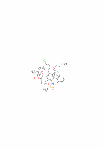 CCCCOc1cc(Cl)ccc1-c1c(C)c2c(c(C)c1[C@H](OC(C)(C)C)C(=O)O)N(S(C)(=O)=O)Cc1cccc(F)c1-2